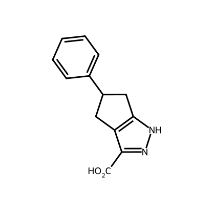 O=C(O)c1n[nH]c2c1CC(c1ccccc1)C2